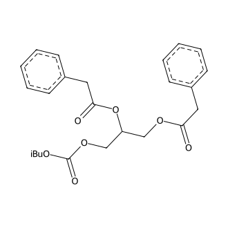 CC(C)COC(=O)OCC(COC(=O)Cc1ccccc1)OC(=O)Cc1ccccc1